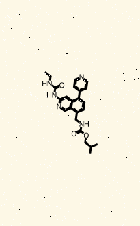 CCNC(=O)Nc1cc2c(-c3ccncc3)ccc(CNC(=O)OCC(C)C)c2cn1